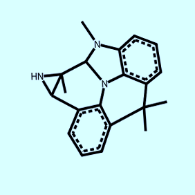 CN1c2cccc3c2N2c4c(cccc4C3(C)C)C3NC3(C)C12